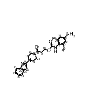 Nc1cc(F)c(NC(=O)OCCC(=O)N2CCN(c3nc4ccccc4s3)CC2)c(F)c1